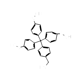 CSc1ccc(C(c2ccc(CS)cc2)(c2ccc(SC)cc2)c2ccc(SC)cc2)cc1